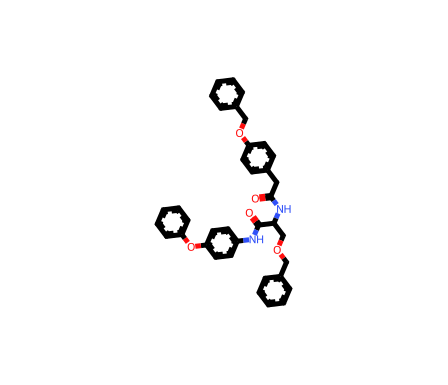 O=C(Cc1ccc(OCc2ccccc2)cc1)NC(COCc1ccccc1)C(=O)Nc1ccc(Oc2ccccc2)cc1